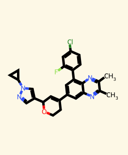 Cc1nc2cc(C3=CC(c4cnn(C5CC5)c4)OCC3)cc(-c3ccc(Cl)cc3F)c2nc1C